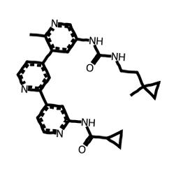 Cc1ncc(NC(=O)NCCC2(C)CC2)cc1-c1ccnc(-c2ccnc(NC(=O)C3CC3)c2)c1